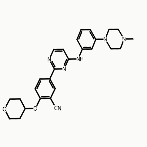 CN1CCN(c2cccc(Nc3ccnc(-c4ccc(OC5CCOCC5)c(C#N)c4)n3)c2)CC1